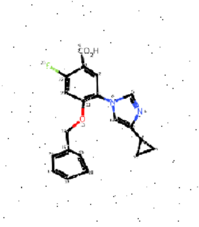 O=C(O)c1cc(-n2cnc(C3CC3)c2)c(OCc2ccccc2)cc1F